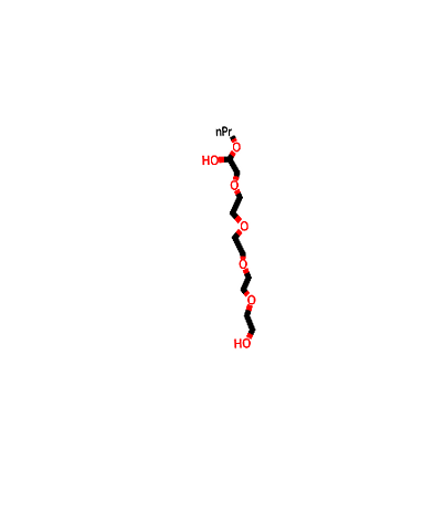 CCCOC(O)COCCOCCOCCOCCO